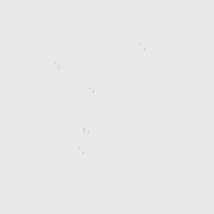 O=C(C1CC1)N1CC=C(c2cncc(-c3nnc(-c4ccccc4)o3)n2)CC1